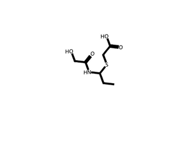 CCC(NC(=O)CO)SCC(=O)O